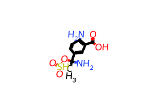 CC(N)(O[SH](=O)=O)c1ccc(N)c(C(=O)O)c1